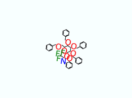 O=C(OC1C(OCc2ccccc2)[C@H](OCc2ccccc2)C(COCc2ccccc2)O[C@H]1O/C(=N\c1ccccc1)C(F)(F)F)c1ccccc1